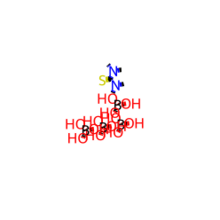 CN(C)C(=S)N(C)C.OB(O)O.OB(O)O.OB(O)O.OB(O)O